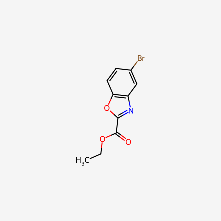 CCOC(=O)c1nc2cc(Br)ccc2o1